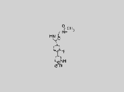 CC(=O)NCC1NCC(c2ccc(C3CCS(=O)(=O)NC3)c(F)c2)O1